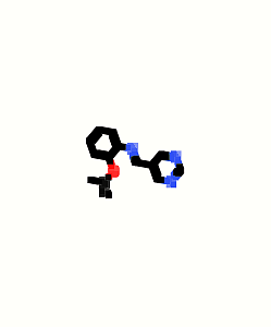 C[SiH](C)Oc1ccccc1N=Cc1cncnc1